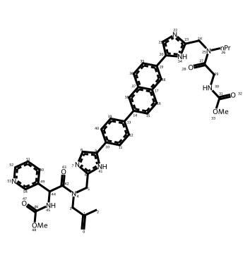 C=C(C)CN(Cc1ncc(-c2ccc(-c3ccc4cc(-c5cnc(CN(CCC)C(=O)CNC(=O)OC)[nH]5)ccc4c3)cc2)[nH]1)C(=O)C(NC(=O)OC)c1cccnc1